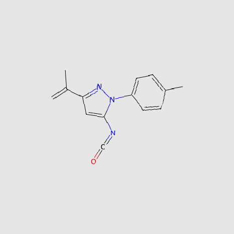 C=C(C)c1cc(N=C=O)n(-c2ccc(C)cc2)n1